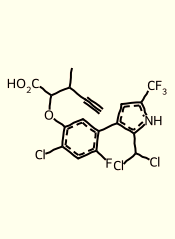 C#CC(C)C(Oc1cc(-c2cc(C(F)(F)F)[nH]c2C(Cl)Cl)c(F)cc1Cl)C(=O)O